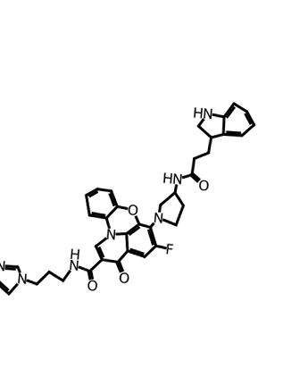 O=C(CCC1CNc2ccccc21)NC1CCN(c2c(F)cc3c(=O)c(C(=O)NCCCn4ccnc4)cn4c3c2Oc2ccccc2-4)C1